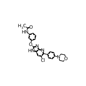 CC(=O)Nc1cccc(Oc2nc3nc(-c4ccc(N5CCOCC5)cc4)c(Cl)cc3[nH]2)c1